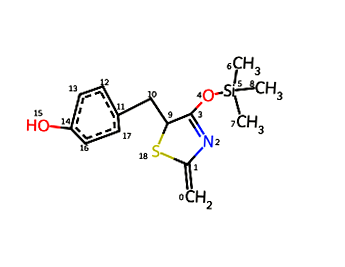 C=C1N=C(O[Si](C)(C)C)C(Cc2ccc(O)cc2)S1